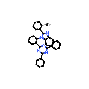 CC(C)c1ccccc1-c1nc2ccccc2n1-c1ccccc1-c1nc(-c2ccccc2)nc(-c2ccccc2)n1